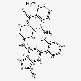 C[C@@H]1CC=CC(ON)=C1C(=O)N1CCC(Nc2cc(-c3ccccc3Cl)nc3c(Br)cnn23)CC1